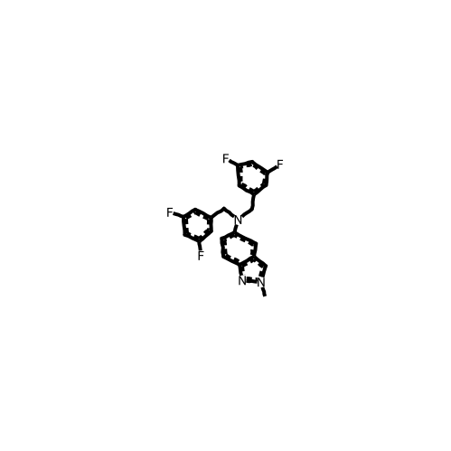 Cn1cc2cc(N(Cc3cc(F)cc(F)c3)Cc3cc(F)cc(F)c3)ccc2n1